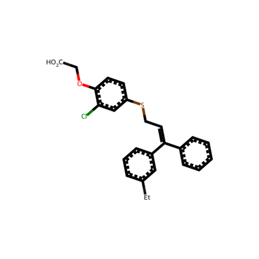 CCc1cccc(/C(=C\CSc2ccc(OCC(=O)O)c(Cl)c2)c2ccccc2)c1